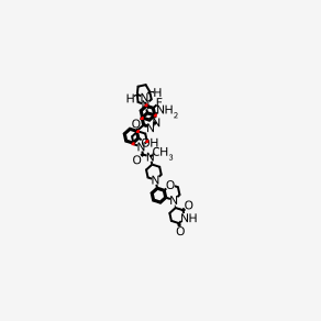 CN(C(=O)N1CCC(Oc2ccc(F)c(N3[C@@H]4CC[C@H]3CN(c3cc(-c5ccccc5O)nnc3N)C4)c2)CC1)C1CCN(c2cccc3c2OCCN3[C@H]2CCC(=O)NC2=O)CC1